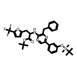 CC(C)(C)OC(=O)C(Cc1ccc(C(F)(F)F)o1)Nc1ncc(-c2cccc(O[Si](C)(C)C(C)(C)C)c2)nc1Cc1ccccc1